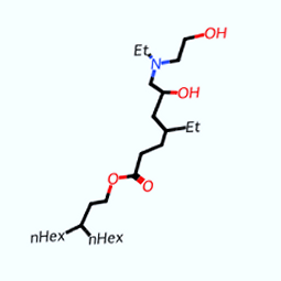 CCCCCCC(CCCCCC)CCOC(=O)CCC(CC)CC(O)CN(CC)CCO